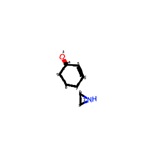 C1CN1.O=C1C=CCCC1